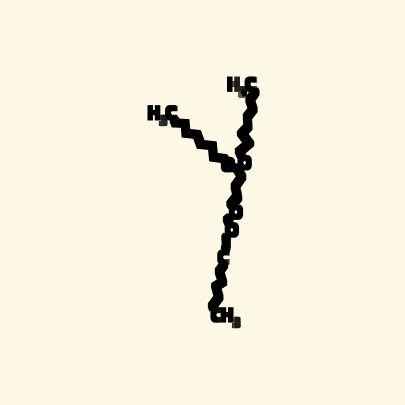 CCCCCCCCCCOCOC=CCCC(OCCCCCCCCC)OCCCCCCCCC